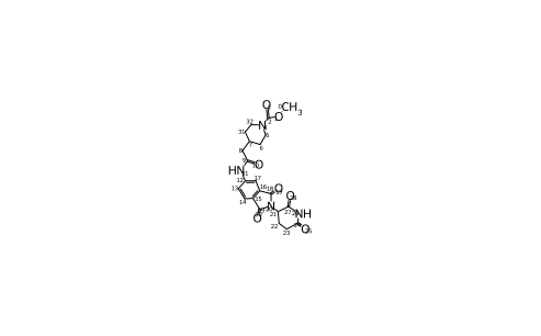 COC(=O)N1CCC(CC(=O)Nc2ccc3c(c2)C(=O)N(C2CCC(=O)NC2=O)C3=O)CC1